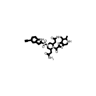 C#Cc1ccc2[nH]c(S(=O)(=O)N3CC(CC(N)=O)N(C(=O)c4nc5c(s4)CNC(C)C5C)C(CC(N)=O)C3)cc2c1